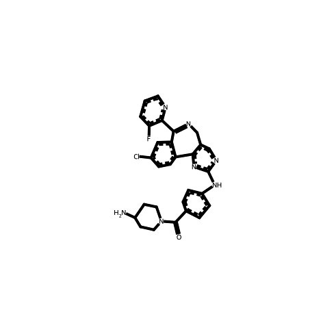 NC1CCN(C(=O)c2ccc(Nc3ncc4c(n3)-c3ccc(Cl)cc3C(c3ncccc3F)=NC4)cc2)CC1